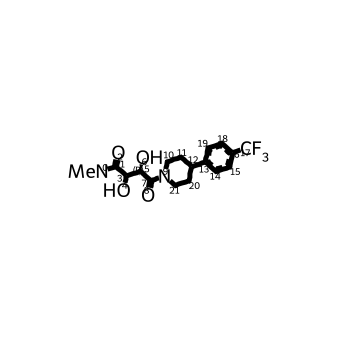 CNC(=O)C(O)[C@@H](O)C(=O)N1CCC(c2ccc(C(F)(F)F)cc2)CC1